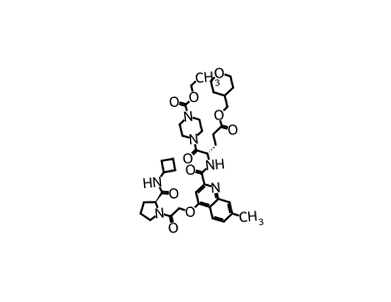 CCOC(=O)N1CCN(C(=O)[C@H](CCC(=O)OCC2CCOCC2)NC(=O)c2cc(OCC(=O)N3CCC[C@H]3C(=O)NC3CCC3)c3ccc(C)cc3n2)CC1